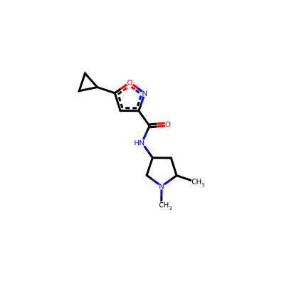 CC1CC(NC(=O)c2cc(C3CC3)on2)CN1C